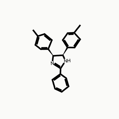 Cc1ccc([C@H]2NC(c3ccccc3)=N[C@H]2c2ccc(C)cc2)cc1